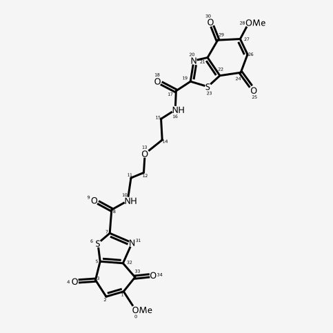 COC1=CC(=O)c2sc(C(=O)NCCOCCNC(=O)c3nc4c(s3)C(=O)C=C(OC)C4=O)nc2C1=O